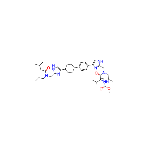 CCCN(Cc1nc(C2CCC(c3ccc(-c4c[nH]c(CN(CCC)C(=O)[C@@H](NC(=O)OC)C(C)C)n4)cc3)CC2)c[nH]1)C(=O)CC(C)C